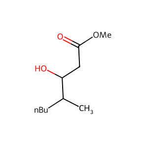 CCCCC(C)C(O)CC(=O)OC